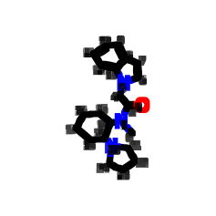 CN(C(=O)Cn1ccc2ccccc21)C1CCCCC1N1CCCC1